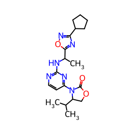 CC(Nc1nccc(N2C(=O)OCC2C(C)C)n1)c1nc(C2CCCC2)no1